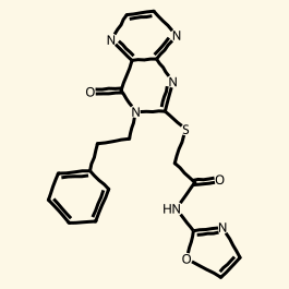 O=C(CSc1nc2nccnc2c(=O)n1CCc1ccccc1)Nc1ncco1